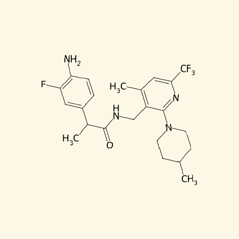 Cc1cc(C(F)(F)F)nc(N2CCC(C)CC2)c1CNC(=O)C(C)c1ccc(N)c(F)c1